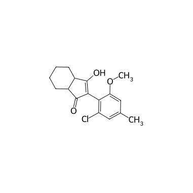 COc1cc(C)cc(Cl)c1C1=C(O)C2CCCCC2C1=O